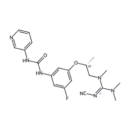 C[C@H](CN(C)/C(=N\C#N)N(C)C)Oc1cc(F)cc(NC(=O)Nc2cccnc2)c1